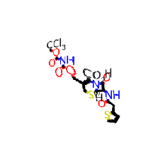 O=C(Cc1cccs1)NC1C(=O)N2C(C(=O)O)=C(COC(=O)NC(=O)OCC(Cl)(Cl)Cl)CS[C@@H]12